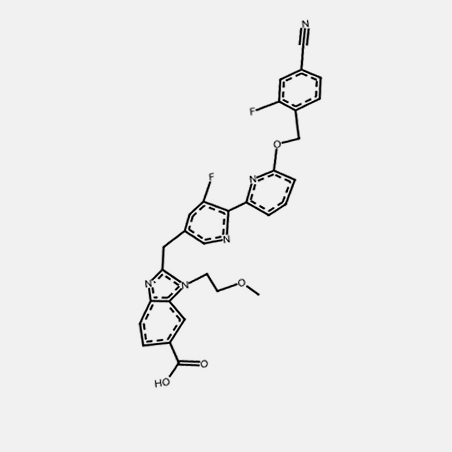 COCCn1c(Cc2cnc(-c3cccc(OCc4ccc(C#N)cc4F)n3)c(F)c2)nc2ccc(C(=O)O)cc21